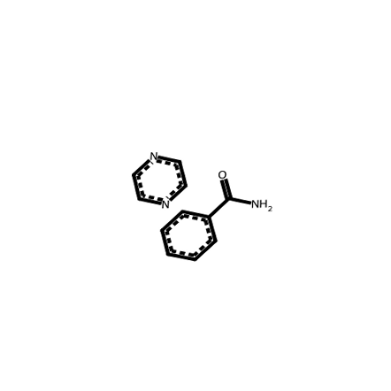 NC(=O)c1ccccc1.c1cnccn1